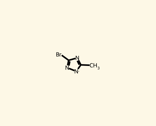 CC1=NC(Br)=N[N]1